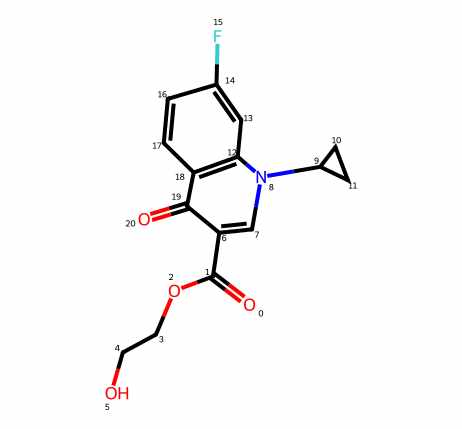 O=C(OCCO)c1cn(C2CC2)c2cc(F)ccc2c1=O